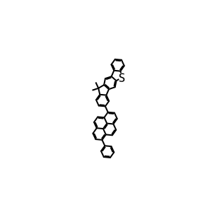 CC1(C)c2ccc(-c3ccc4ccc5c(-c6ccccc6)ccc6ccc3c4c65)cc2-c2cc3sc4ccccc4c3cc21